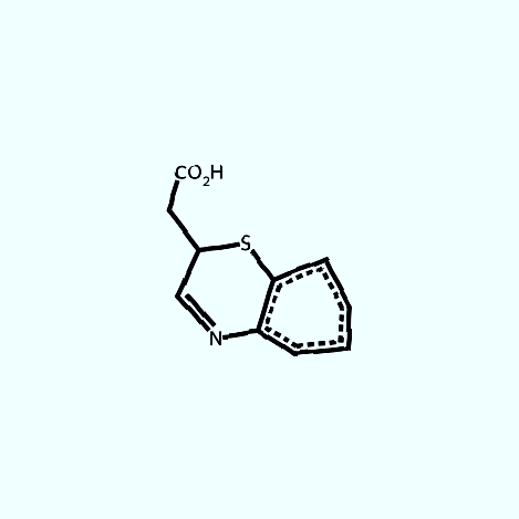 O=C(O)CC1C=Nc2ccccc2S1